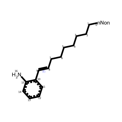 CCCCCCCCCCCCCCCC/C=C/c1ccccc1N